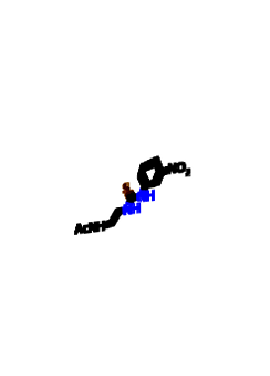 CC(=O)NCCNC(=S)Nc1cccc([N+](=O)[O-])c1